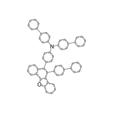 c1ccc(-c2ccc(-c3c(-c4ccc(N(c5ccc(-c6ccccc6)cc5)c5ccc(-c6ccccc6)cc5)cc4)c4ccccc4c4oc5ccccc5c34)cc2)cc1